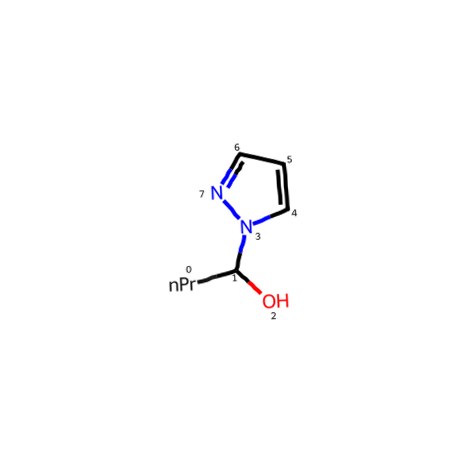 CCCC(O)n1cccn1